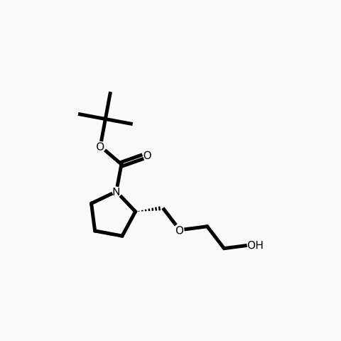 CC(C)(C)OC(=O)N1CCC[C@H]1COCCO